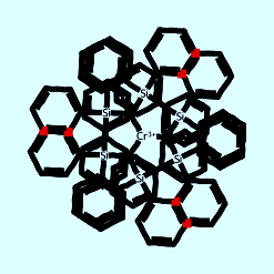 c1ccc([Si](c2ccccc2)(c2ccccc2)[CH]([Cr+3]([CH]([Si](c2ccccc2)(c2ccccc2)c2ccccc2)[Si](c2ccccc2)(c2ccccc2)c2ccccc2)[CH]([Si](c2ccccc2)(c2ccccc2)c2ccccc2)[Si](c2ccccc2)(c2ccccc2)c2ccccc2)[Si](c2ccccc2)(c2ccccc2)c2ccccc2)cc1